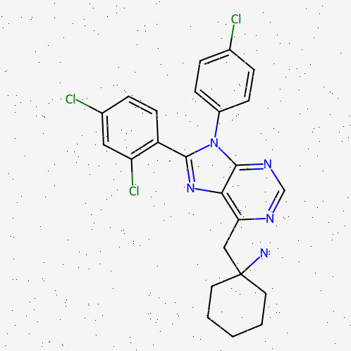 [N]C1(Cc2ncnc3c2nc(-c2ccc(Cl)cc2Cl)n3-c2ccc(Cl)cc2)CCCCC1